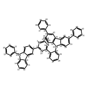 CC(C)(C)c1nc(-c2ccc3c(c2)c2ccccc2n3-c2ccccc2)nc(-c2ccccc2-n2c3ccc(-c4ccccc4)cc3c3cc(-c4ccccc4)ccc32)n1